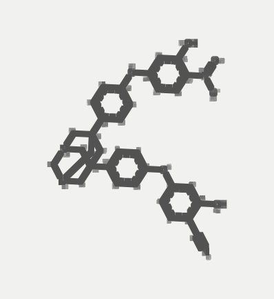 N#Cc1ccc(Oc2ccc(C34CN5CN(C3)CC(c3ccc(Oc6ccc([N+](=O)[O-])c(O)c6)cc3)(C5)C4)cc2)cc1O